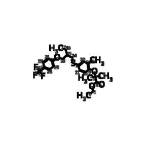 CCOC(=O)C(C)(C)Oc1ccc(SCC(CC)COc2ccc(C(F)(F)F)cc2)cc1C